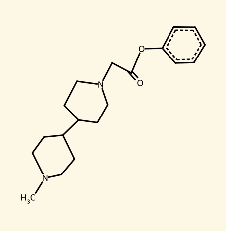 CN1CCC(C2CCN(CC(=O)Oc3ccccc3)CC2)CC1